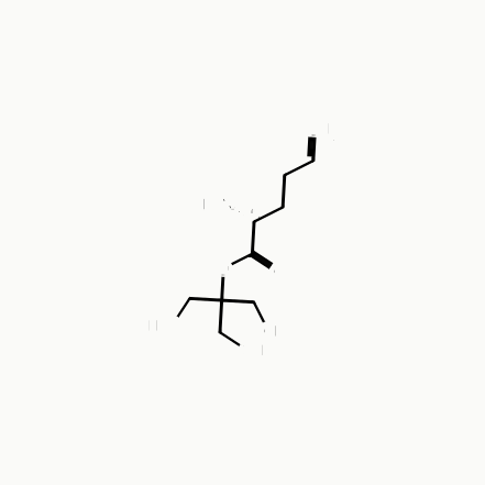 C=CCC[C@@H](N)C(=O)OC(CC)(CC)CC